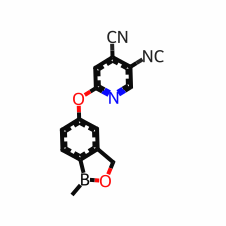 [C-]#[N+]c1cnc(Oc2ccc3c(c2)COB3C)cc1C#N